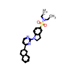 CCN(CC)S(=O)(=O)c1ccc2c(c1)CCN2c1nccc(-c2ccc3ccccc3c2)n1